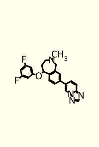 CN1CCC(Oc2cc(F)cc(F)c2)c2ccc(-c3ccc4ncnn4c3)cc2C1